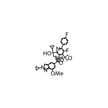 COc1cc(C(=O)NC[C@](O)(c2cc(C3(O)COC3)c(F)c(-c3ccc(F)cc3)n2)C2CC2)cc2cn(C3CC3)nc12